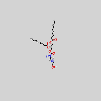 CCCCCCCCCC(=O)OCC(COC(=O)NC1CN(CCO)C1)OC(=O)CCCCCCCCC